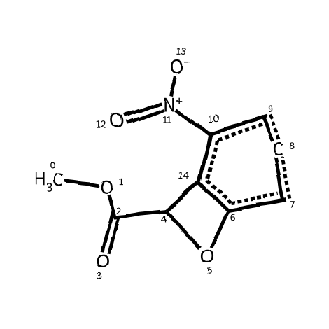 COC(=O)C1Oc2cccc([N+](=O)[O-])c21